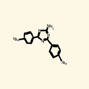 CC(C)(C)c1ccc(-c2nc(N)nc(-c3ccc(C(C)(C)C)cc3)n2)cc1